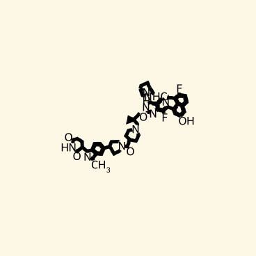 C#Cc1c(F)ccc2cc(O)cc(-c3ncc4c(N5CC6CCC(C5)N6)nc(OCC5(CN6CCC(C(=O)N7CCC(c8ccc9c(c8)C(C)N=C9C8CCC(=O)NC8=O)CC7)CC6)CC5)nc4c3F)c12